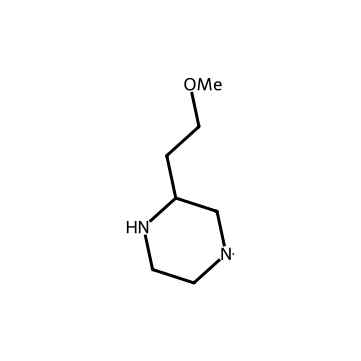 COCCC1C[N]CCN1